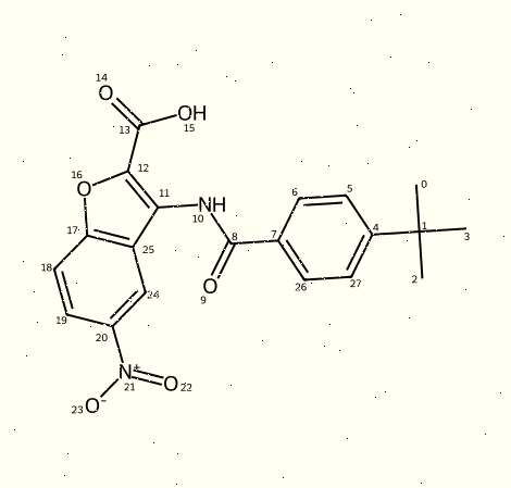 CC(C)(C)c1ccc(C(=O)Nc2c(C(=O)O)oc3ccc([N+](=O)[O-])cc23)cc1